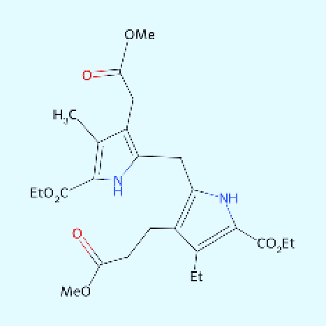 CCOC(=O)c1[nH]c(Cc2[nH]c(C(=O)OCC)c(CC)c2CCC(=O)OC)c(CC(=O)OC)c1C